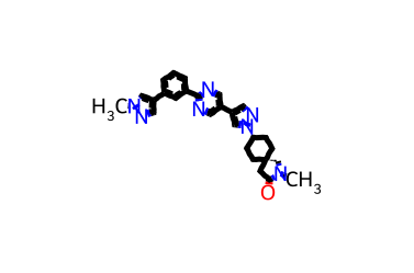 CN1C[C@]2(CC[C@@H](n3cc(-c4cnc(-c5cccc(-c6cnn(C)c6)c5)nc4)cn3)CC2)CC1=O